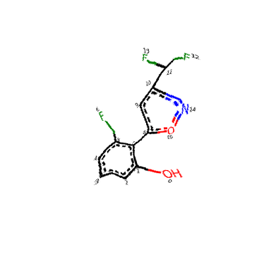 Oc1cccc(F)c1-c1cc(C(F)F)no1